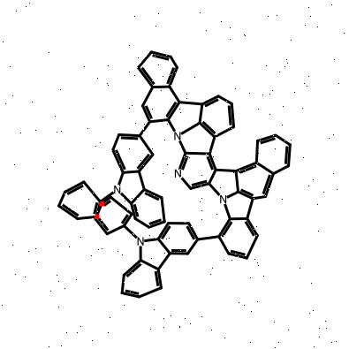 c1ccc(-n2c3ccccc3c3cc(-c4cccc5c6cc7ccccc7c7c8c9c%10cccc%11c%12c%13ccccc%13cc(-c%13ccc%14c(c%13)c%13ccccc%13n%14-c%13ccccc%13)c%12n(c9ncc8n(c45)c67)c%10%11)ccc32)cc1